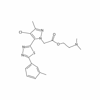 Cc1cccc(-c2nnc(-c3c(Cl)c(C)nn3CC(=O)OCCN(C)C)s2)c1